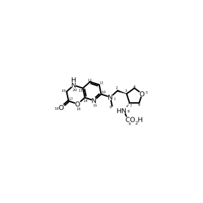 CN(C[C@H]1COC[C@@H]1NC(=O)O)c1ccc2c(n1)OC(=O)CN2